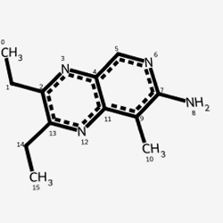 CCc1nc2cnc(N)c(C)c2nc1CC